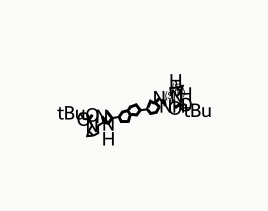 CC(C)(C)OC(=O)N1C(c2ncc(-c3ccc4cc(-c5ccc6[nH]c([C@@H]7C[C@@H]8C[C@H]8N7C(=O)OC(C)(C)C)nc6c5)ccc4c3)[nH]2)CC2CC21